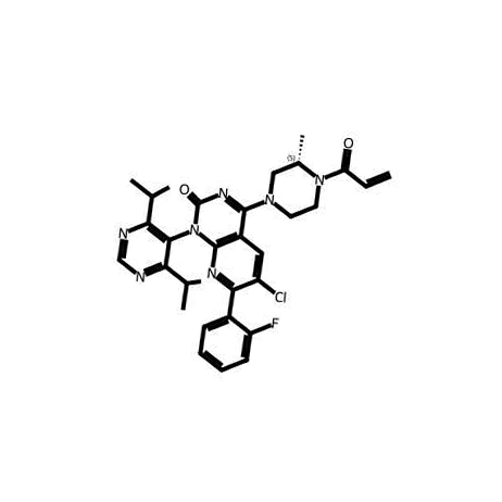 C=CC(=O)N1CCN(c2nc(=O)n(-c3c(C(C)C)ncnc3C(C)C)c3nc(-c4ccccc4F)c(Cl)cc23)C[C@@H]1C